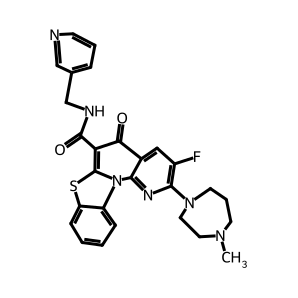 CN1CCCN(c2nc3c(cc2F)c(=O)c(C(=O)NCc2cccnc2)c2sc4ccccc4n23)CC1